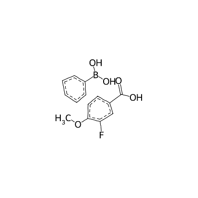 COc1ccc(C(=O)O)cc1F.OB(O)c1ccccc1